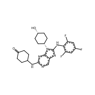 O=C1CCC(Nc2ncc3nc(Nc4c(F)cc(F)cc4F)n([C@H]4CC[C@@H](O)CC4)c3n2)CC1